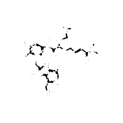 Cc1c(F)cc(NC(=O)C(CCC=CC(=O)N(C)C)OC(=O)N(C)C)c(=O)n1Cc1nc2c(F)cnc(CC(C)C)c2[nH]1